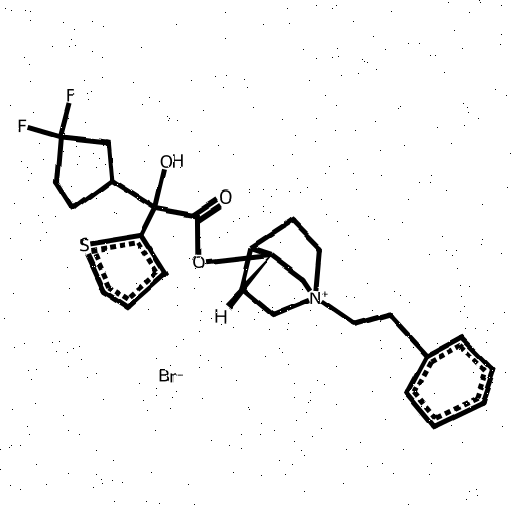 O=C(O[C@H]1C[N+]2(CCc3ccccc3)CCC1CC2)C(O)(c1cccs1)C1CCC(F)(F)C1.[Br-]